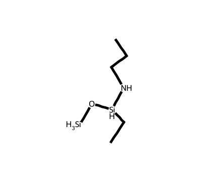 CCCN[SiH](CC)O[SiH3]